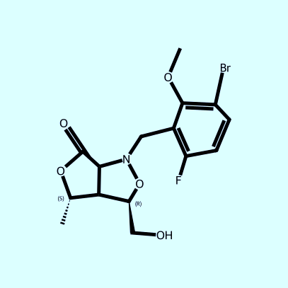 COc1c(Br)ccc(F)c1CN1O[C@@H](CO)C2C1C(=O)O[C@H]2C